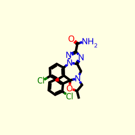 CC1CN2Cc3nc(C(N)=O)nn3-c3ccc(Cl)cc3C2(c2ccccc2Cl)O1